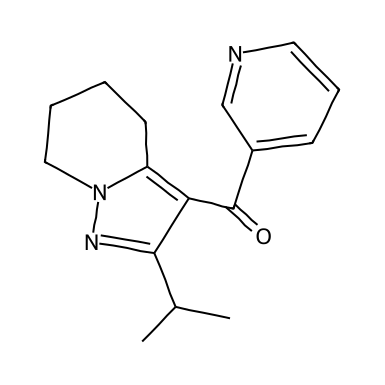 CC(C)c1nn2c(c1C(=O)c1cccnc1)CCCC2